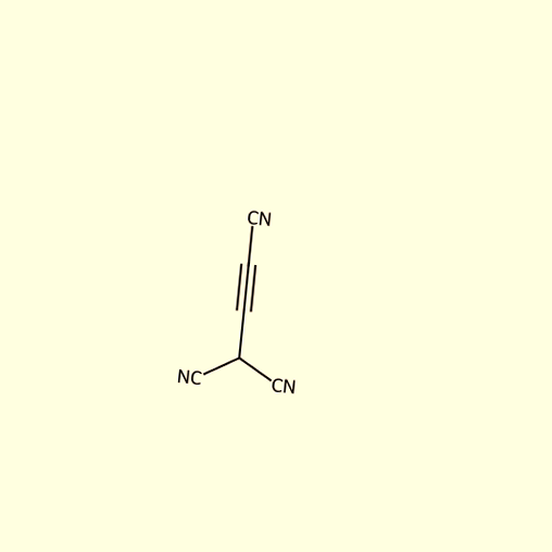 N#CC#CC(C#N)C#N